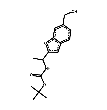 CC(NC(=O)OC(C)(C)C)c1cc2ccc(CO)cc2o1